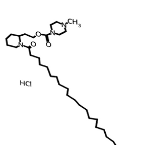 CCCCCCCCCCCCCCCCCCCCCC(=O)N1CCCCC1CCOC(=O)N1CCN(C)CC1.Cl